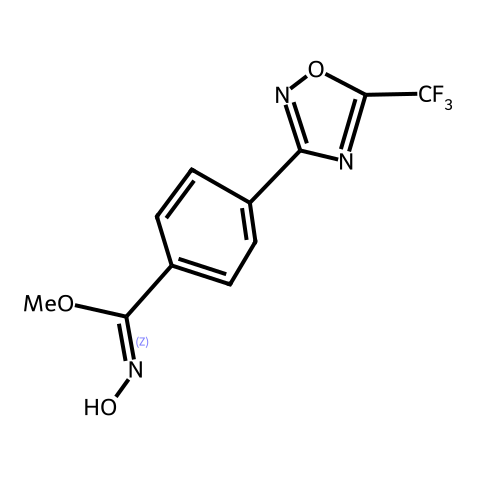 CO/C(=N\O)c1ccc(-c2noc(C(F)(F)F)n2)cc1